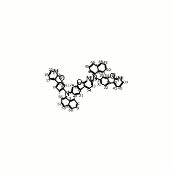 c1ccc2c(N(c3ccc4c(c3)oc3ncccc34)c3ccc4c(c3)oc3nc(N(c5ccc6c(c5)oc5ncccc56)c5cccc6ccccc56)ccc34)cccc2c1